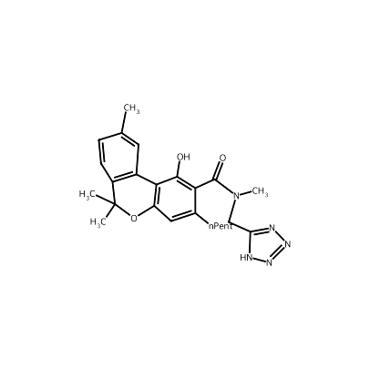 CCCCCc1cc2c(c(O)c1C(=O)N(C)Cc1nnn[nH]1)-c1cc(C)ccc1C(C)(C)O2